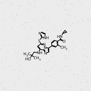 Cc1cc(-c2cnc3c(NCC(C)(C)O)cc(Sc4ncc[nH]4)nn23)ccc1C(=O)NC1CC1